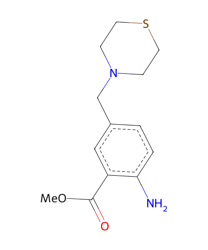 COC(=O)c1cc(CN2CCSCC2)ccc1N